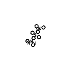 c1ccc(-n2c3ccccc3c3cc([Si](c4ccccc4)(c4ccccc4)c4ccc(N(c5ccccn5)c5ccccn5)cc4)ccc32)cc1